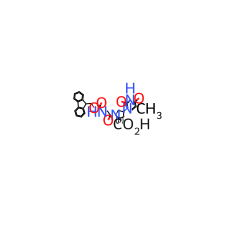 Cc1cn(C2C[C@@H](C(=O)O)N(C(=O)CNC(=O)OCC3c4ccccc4-c4ccccc43)C2)c(=O)[nH]c1=O